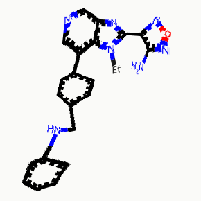 CCn1c(-c2nonc2N)nc2cncc(-c3ccc(CNc4ccccc4)cc3)c21